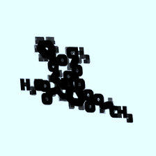 CCCOC(=O)Oc1ccc(C[C@H](NCCOC(=O)c2ccccc2)C(=O)OC)cc1OC(=O)OCCC